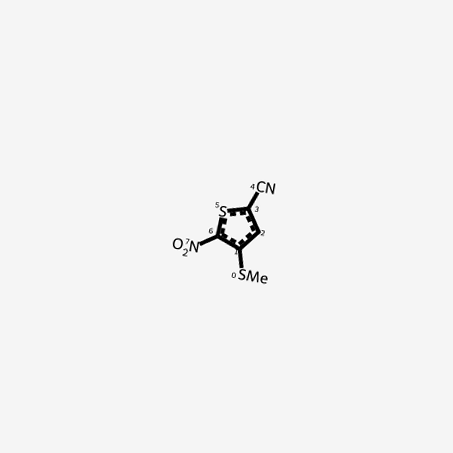 CSc1cc(C#N)sc1[N+](=O)[O-]